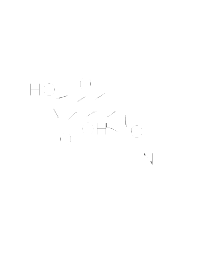 CC(C)N(CCOc1ccc(-c2c(O)c3c(c4c2=CCCO4)C=C(O)C=C2CCOCC=32)cc1)C(C)C